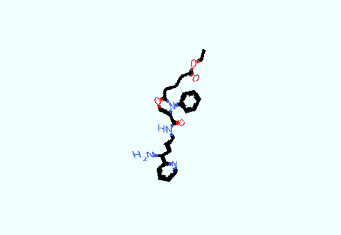 CCOC(=O)CCCC1OC=C(C(=O)NCCCC(N)c2ccccn2)N1c1ccccc1